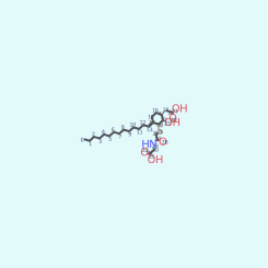 CCCCCCCCCCCCC/C=C1\CC[C@H](CC(=O)O)[C@@H](O)[C@@H]1SCC(=O)NCC(=O)O